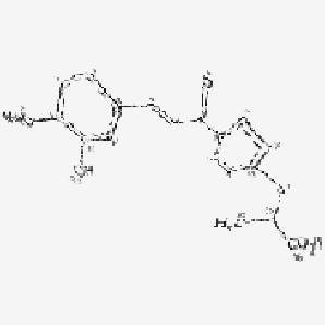 COc1ccc(/C=C/C(=O)c2ccc(OC(C)C(=O)O)cc2)cc1O